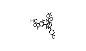 CC(C)(C)OC(=O)Nc1ncc(C2CCC(=O)CC2)nc1-c1ccc(C(=O)O)c(F)c1